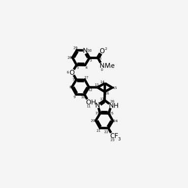 CNC(=O)c1cc(Oc2ccc(O)c(C3C4CC43c3nc4ccc(C(F)(F)F)cc4[nH]3)c2)ccn1